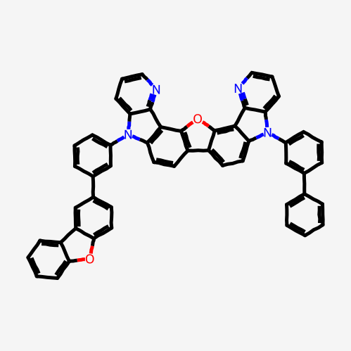 c1ccc(-c2cccc(-n3c4cccnc4c4c5oc6c(ccc7c6c6ncccc6n7-c6cccc(-c7ccc8oc9ccccc9c8c7)c6)c5ccc43)c2)cc1